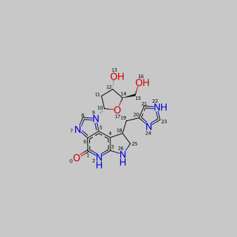 O=c1[nH]c2c(c3c1ncn3[C@@H]1C[C@H](O)[C@@H](CO)O1)C(Cc1c[nH]cn1)CN2